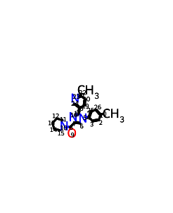 Cc1ccc(-n2cc(C(=O)N3CCCCC3)nc2-c2ccc(C)nc2)cc1